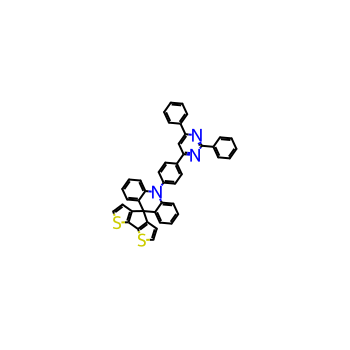 c1ccc(-c2cc(-c3ccc(N4c5ccccc5C5(c6ccccc64)c4ccsc4-c4sccc45)cc3)nc(-c3ccccc3)n2)cc1